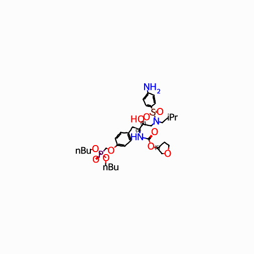 CCCCOP(=O)(COc1ccc(C[C@H](NC(=O)O[C@H]2CCOC2)[C@H](O)CN(CC(C)C)S(=O)(=O)c2ccc(N)cc2)cc1)OCCCC